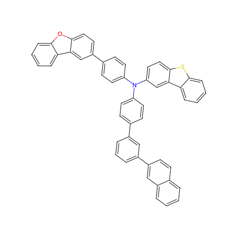 c1cc(-c2ccc(N(c3ccc(-c4ccc5oc6ccccc6c5c4)cc3)c3ccc4sc5ccccc5c4c3)cc2)cc(-c2ccc3ccccc3c2)c1